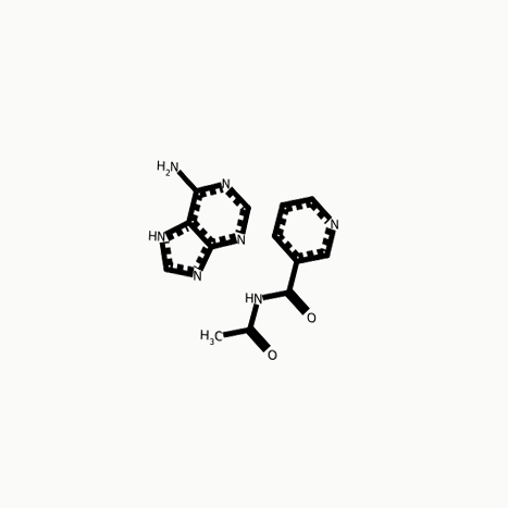 CC(=O)NC(=O)c1cccnc1.Nc1ncnc2nc[nH]c12